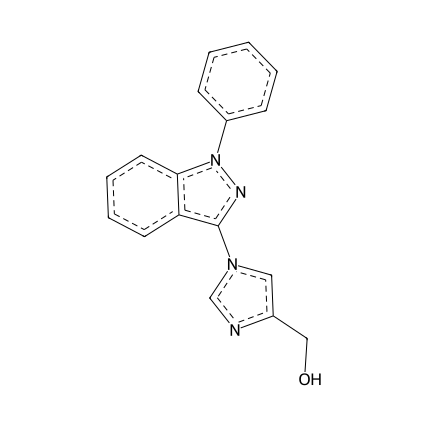 OCc1cn(-c2nn(-c3ccccc3)c3ccccc23)cn1